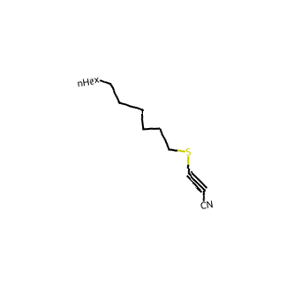 CCCCCCCCCCCCSC#CC#N